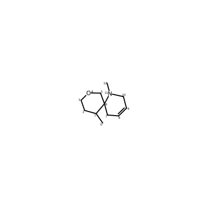 CC1CCOCC12CC=CCN2C